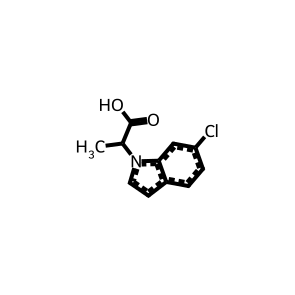 CC(C(=O)O)n1ccc2ccc(Cl)cc21